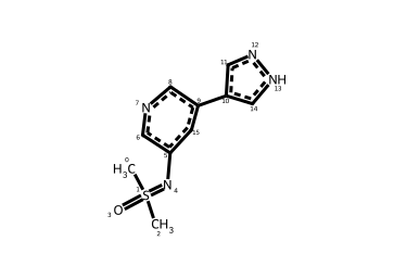 CS(C)(=O)=Nc1cncc(-c2cn[nH]c2)c1